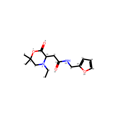 CCN1CC(C)(C)OC(=O)C1CC(=O)NCc1ccco1